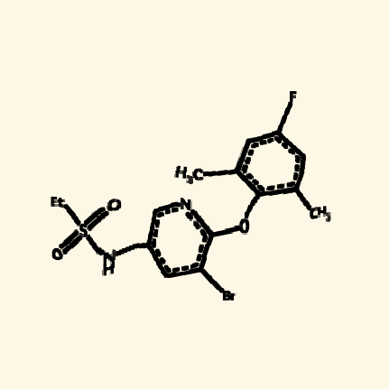 CCS(=O)(=O)Nc1cnc(Oc2c(C)cc(F)cc2C)c(Br)c1